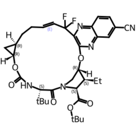 CC[C@@H]1[C@@H]2CN(C(=O)[C@H](C(C)(C)C)NC(=O)O[C@@H]3C[C@H]3CC/C=C/C(F)(F)c3nc4ccc(C#N)cc4nc3O2)[C@@H]1C(=O)OC(C)(C)C